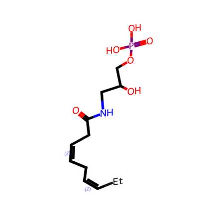 CC/C=C\C/C=C\CC(=O)NCC(O)COP(=O)(O)O